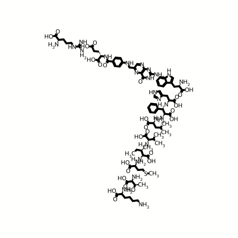 CC(C)C[C@H](N)C(=O)O.CC(C)[C@H](N)C(=O)O.CC[C@H](C)[C@H](N)C(=O)O.CSCC[C@H](N)C(=O)O.C[C@@H](O)[C@H](N)C(=O)O.N=C(N)NCCC[C@H](N)C(=O)O.NCCCC[C@H](N)C(=O)O.N[C@@H](Cc1c[nH]c2ccccc12)C(=O)O.N[C@@H](Cc1c[nH]cn1)C(=O)O.N[C@@H](Cc1ccccc1)C(=O)O.Nc1nc2ncc(CNc3ccc(C(=O)N[C@@H](CCC(=O)O)C(=O)O)cc3)nc2c(=O)[nH]1